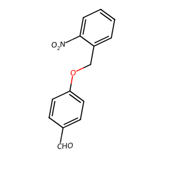 O=Cc1ccc(OCc2ccccc2[N+](=O)[O-])cc1